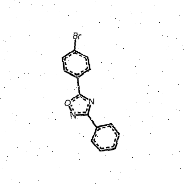 Brc1ccc(-c2nc(-c3ccccc3)no2)cc1